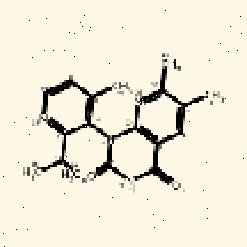 Cc1cc2c(=O)[nH]c(=O)n(-c3c(C)ccnc3C(C)C)c2nc1C